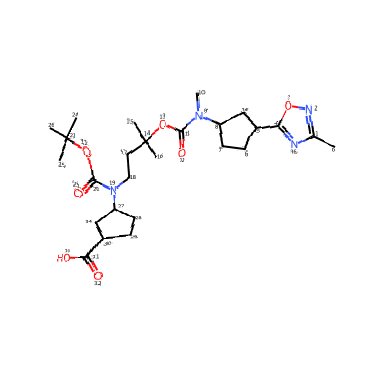 Cc1noc(C2CCC(N(C)C(=O)OC(C)(C)CCN(C(=O)OC(C)(C)C)C3CCC(C(=O)O)C3)C2)n1